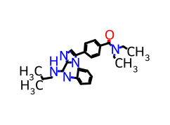 CCN(CC)C(=O)c1ccc(-c2cnc3c(NCC(C)C)nc4ccccc4n23)cc1